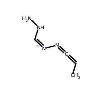 CC=C=N/N=C\NN